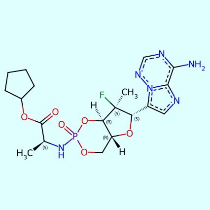 C[C@H](NP1(=O)OC[C@H]2O[C@@H](c3cnc4c(N)ncnn34)[C@](C)(F)[C@@H]2O1)C(=O)OC1CCCC1